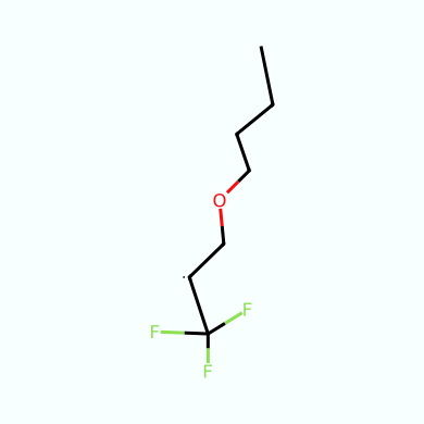 CCCCOC[CH]C(F)(F)F